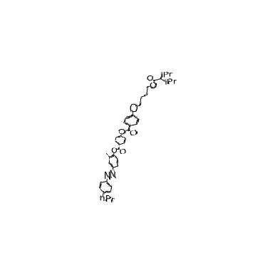 CCCc1ccc(N=Nc2ccc(OC(=O)c3ccc(OC(=O)c4ccc(OCCCCOC(=O)C(C(C)C)C(C)C)cc4)cc3)c(C)c2)cc1